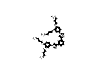 NCCCOc1ccc(-n2cc(-c3cccc(-c4cn(-c5ccc(OCCCN)c(OCCCN)c5)nn4)c3)nn2)cc1OCCCN